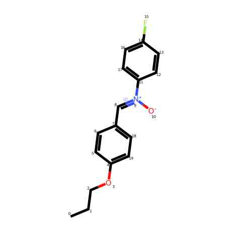 CCCOc1ccc(/C=[N+](\[O-])c2ccc(F)cc2)cc1